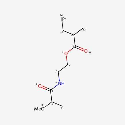 COC(C)C(=O)NCCOC(=O)C(C)CC(C)C